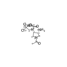 CC(=O)N1C[C@@H](N)[C@@H](N(CC(Cl)(Cl)Cl)C(=O)O)C1